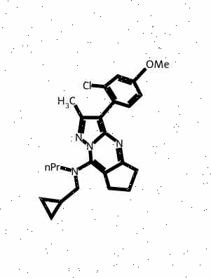 CCCN(CC1CC1)c1c2c(nc3c(-c4ccc(OC)cc4Cl)c(C)nn13)CCC2